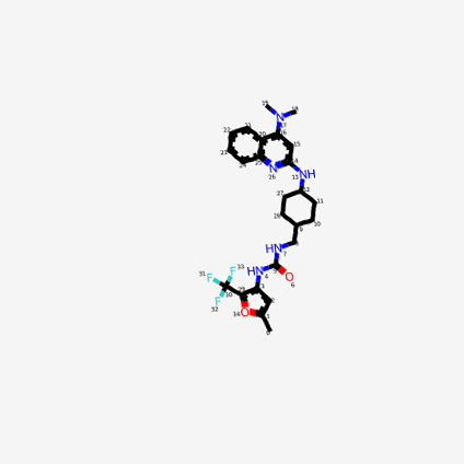 Cc1cc(NC(=O)NCC2CCC(Nc3cc(N(C)C)c4ccccc4n3)CC2)c(C(F)(F)F)o1